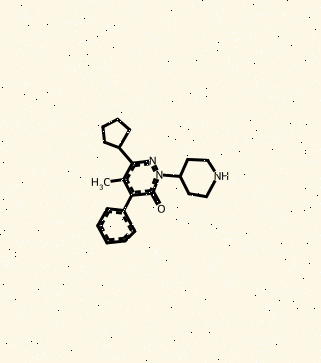 Cc1c(C2CCCC2)nn(C2CCNCC2)c(=O)c1-c1ccccc1